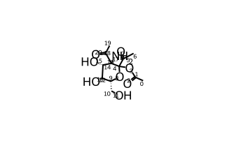 CC(=O)OC1(C(C)=O)O[C@H](CO)[C@@H](O)[C@H](O)[C@]1(N)C(C)=O